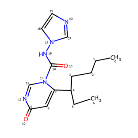 CCCCC(CC)c1cc(=O)ncn1C(=O)Nn1ccnc1